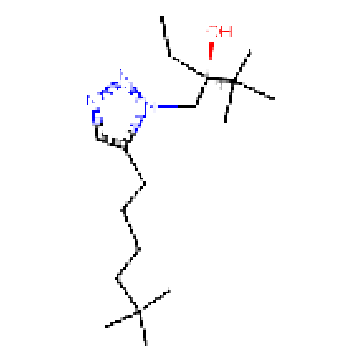 CC[C@@](O)(Cn1nncc1CCCCC(C)(C)C)C(C)(C)C